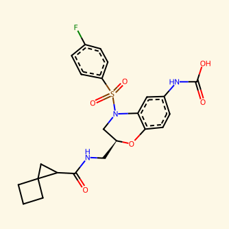 O=C(O)Nc1ccc2c(c1)N(S(=O)(=O)c1ccc(F)cc1)C[C@H](CNC(=O)C1CC13CCC3)O2